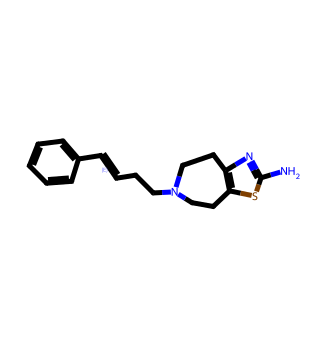 Nc1nc2c(s1)CCN(CC/C=C/c1ccccc1)CC2